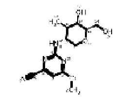 COc1cc(C#N)nc(N[C@H]2CO[C@H](CO)[C@H](O)[C@@H]2C)n1